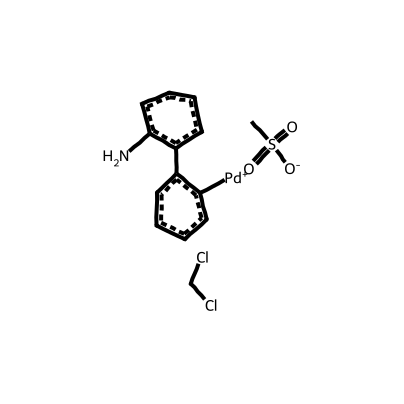 CS(=O)(=O)[O-].ClCCl.Nc1ccccc1-c1cccc[c]1[Pd+]